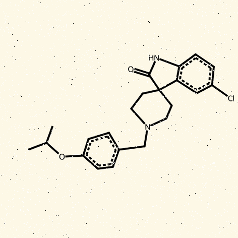 CC(C)Oc1ccc(CN2CCC3(CC2)C(=O)Nc2ccc(Cl)cc23)cc1